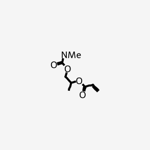 C=CC(=O)OC(C)COC(=O)NC